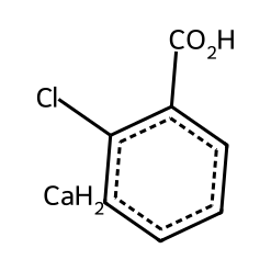 O=C(O)c1ccccc1Cl.[CaH2]